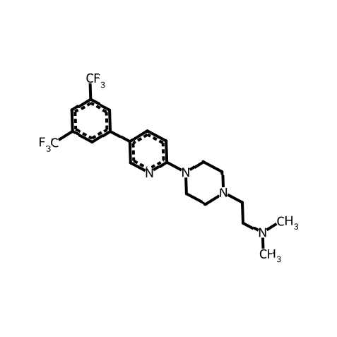 CN(C)CCN1CCN(c2ccc(-c3cc(C(F)(F)F)cc(C(F)(F)F)c3)cn2)CC1